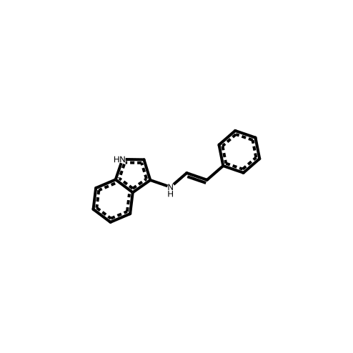 C(=Cc1ccccc1)Nc1c[nH]c2ccccc12